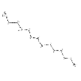 OCCSCCSSCCSCCO